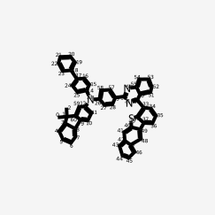 CC1(C)c2ccccc2-c2ccc(N(c3ccc(-c4ccccc4)cc3)c3ccc(-c4nc(-c5cccc6c5sc5cc7ccccc7cc56)c5ccccc5n4)cc3)cc21